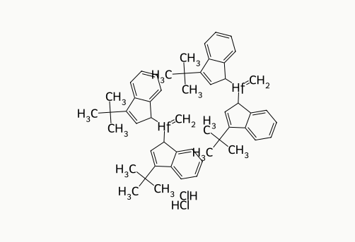 Cl.Cl.[CH2]=[Hf]([CH]1C=C(C(C)(C)C)c2ccccc21)[CH]1C=C(C(C)(C)C)c2ccccc21.[CH2]=[Hf]([CH]1C=C(C(C)(C)C)c2ccccc21)[CH]1C=C(C(C)(C)C)c2ccccc21